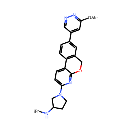 COc1cc(-c2ccc3c(c2)COc2nc(N4CCC(NC(C)C)C4)ccc2-3)cnn1